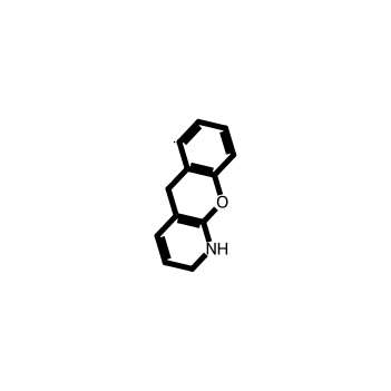 [c]1cccc2c1CC1=C(NCC=C1)O2